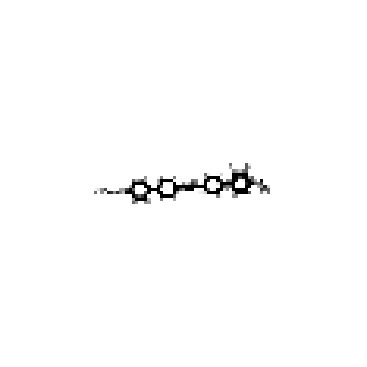 CCCCCC1CCC(C2CCC(C#CC3C=CC(c4ccc(OCC)c(F)c4F)CC3)CC2)CC1